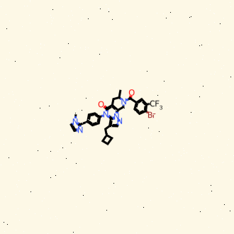 CC1Cc2c(n3ncc(CC4CCC4)c3n(-c3ccc(-c4nccn4C)cc3)c2=O)CN1C(=O)c1ccc(Br)c(C(F)(F)F)c1